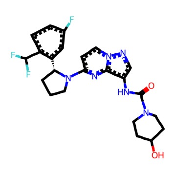 O=C(Nc1cnn2ccc(N3CCC[C@@H]3c3cc(F)ccc3C(F)F)nc12)N1CCC(O)CC1